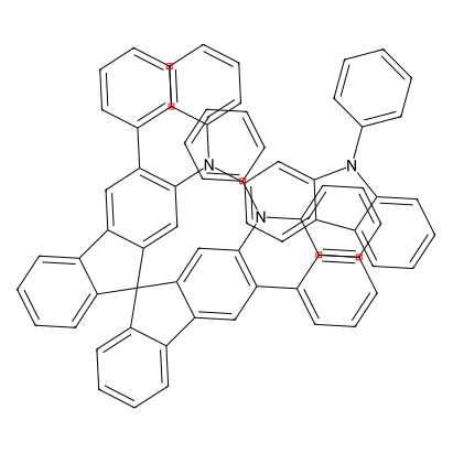 c1ccc(-c2cc3c(cc2N(c2ccccc2)c2ccccc2)C2(c4ccccc4-3)c3ccccc3-c3cc(-c4ccccc4)c(N(c4ccccc4)c4ccc5c6ccccc6n(-c6ccccc6)c5c4)cc32)cc1